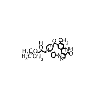 Cc1cc2[nH]c(=O)c3cnn(C4CCCC4)c3c2cc1C(=O)N1CCN(CC(O)COC(C)(C)C)CC1